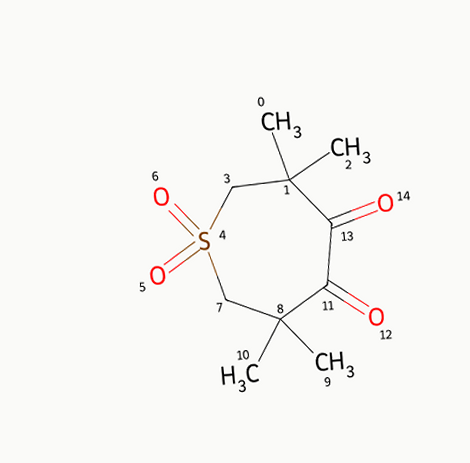 CC1(C)CS(=O)(=O)CC(C)(C)C(=O)C1=O